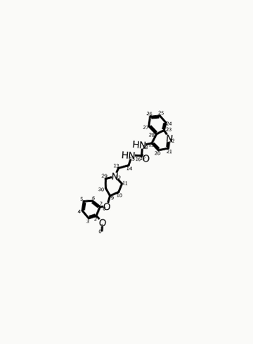 COc1ccccc1OC1CCN(CCNC(=O)Nc2ccnc3ccccc23)CC1